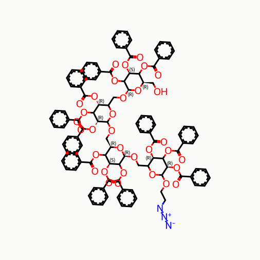 [N-]=[N+]=NCCOC1OC(CO[C@@H]2O[C@H](COC3OC(CO[C@@H]4O[C@H](CO)C(OC(=O)c5ccccc5)[C@H](OC(=O)c5ccccc5)C4OC(=O)c4ccccc4)[C@@H](OC(=O)c4ccccc4)C(OC(=O)c4ccccc4)[C@H]3OC(=O)c3ccccc3)C(OC(=O)c3ccccc3)[C@H](OC(=O)c3ccccc3)C2OC(=O)c2ccccc2)[C@@H](OC(=O)c2ccccc2)C(OC(=O)c2ccccc2)[C@H]1OC(=O)c1ccccc1